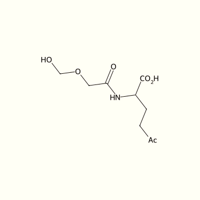 CC(=O)CCC(NC(=O)COCO)C(=O)O